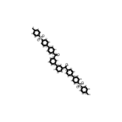 Cc1ccc(S(=O)(=O)c2ccc(-c3ccc(C(=O)c4cccc(-c5cccc(C(=O)c6ccc(-c7ccc(S(=O)(=O)c8ccc(C)cc8)cc7)cc6)c5)c4)cc3)cc2)cc1